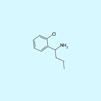 C[CH]CC(N)c1ccccc1Cl